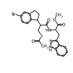 COC(=O)C(Cc1n[nH]c2ccccc12)NC(=O)C(CSC(C)=O)C1CCc2cc(Br)ccc21